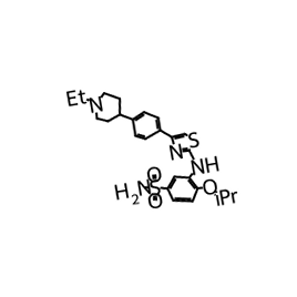 CCN1CCC(c2ccc(-c3csc(Nc4cc(S(N)(=O)=O)ccc4OC(C)C)n3)cc2)CC1